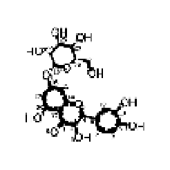 O=c1c(O)c(-c2ccc(O)c(O)c2)oc2cc(O[C@@H]3O[C@H](CO)[C@H](O)[C@H](O)[C@H]3O)cc(O)c12